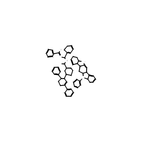 N/C(=N\C(NC(N)C1CC(C2C=C(c3ccccc3)CCC2c2ccccc2)CC[C@@H]1C1=CCCC2OC3=CC4C5=CC=CCC5N(c5ccccc5)C4C[C@H]3C12)C1=CC=CCC1)c1ccccc1